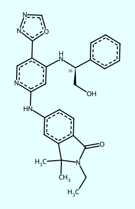 CCN1C(=O)c2ccc(Nc3cc(N[C@H](CO)c4ccccc4)c(-c4nnco4)cn3)cc2C1(C)C